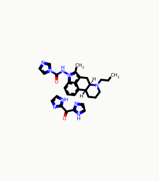 CCCN1CCC[C@@H]2c3cccc4c3c(c(C)n4NC(=O)n3ccnc3)C[C@H]21.O=C(c1ncc[nH]1)c1ncc[nH]1